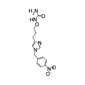 NC(=O)NOCCCc1cn(Cc2ccc([N+](=O)[O-])cc2)cn1